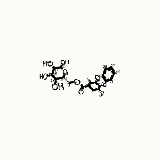 COc1cc(C(=O)OC[C@H]2OC(O)[C@H](O)[C@@H](O)[C@@H]2O)cc(Cl)c1Oc1ccccc1